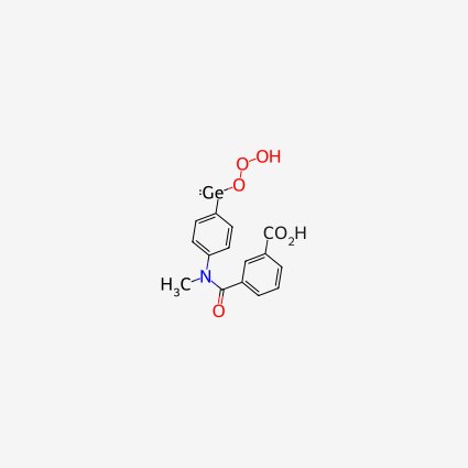 CN(C(=O)c1cccc(C(=O)O)c1)c1cc[c]([Ge][O]OO)cc1